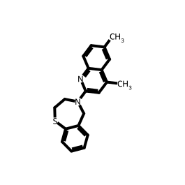 Cc1ccc2nc(N3CCSc4ccccc4C3)cc(C)c2c1